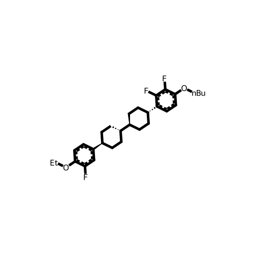 CCCCOc1ccc([C@H]2CC[C@H]([C@H]3CC[C@H](c4ccc(OCC)c(F)c4)CC3)CC2)c(F)c1F